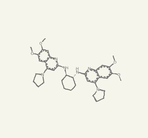 COc1cc2nc(N[C@@H]3CCCC[C@H]3Nc3cc(N4CCCC4)c4cc(OC)c(OC)cc4n3)cc(N3CCCC3)c2cc1OC